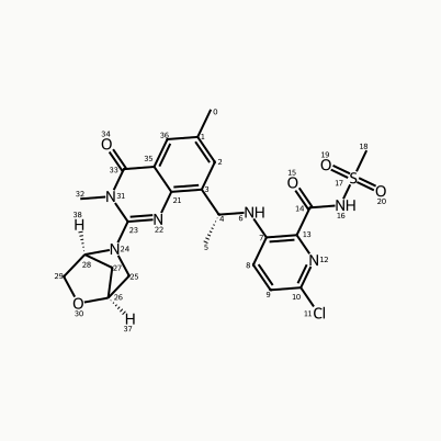 Cc1cc([C@@H](C)Nc2ccc(Cl)nc2C(=O)NS(C)(=O)=O)c2nc(N3C[C@@H]4C[C@H]3CO4)n(C)c(=O)c2c1